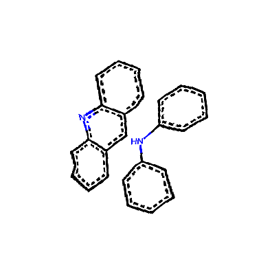 c1ccc(Nc2ccccc2)cc1.c1ccc2nc3ccccc3cc2c1